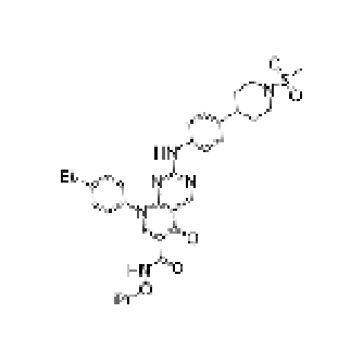 CCc1ccc(-n2cc(C(=O)NOC(C)C)c(=O)c3cnc(Nc4ccc(C5CCN(S(C)(=O)=O)CC5)cc4)nc32)cc1